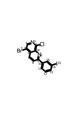 Clc1ncc(Br)c2ccc(-c3cccc(I)c3)nc12